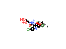 COCC(C)(C)C[C@@H]1N[C@@H](C(=O)NCC[C@H](O)CO)[C@H](c2cccc(Cl)c2F)[C@@]1(C#N)c1ccc(Cl)cc1F